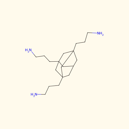 NCCCC12CC3CC(CCCN)(C1)CC(CCCN)(C3)C2